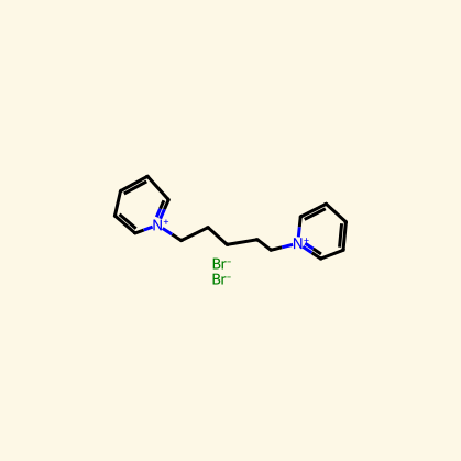 [Br-].[Br-].c1cc[n+](CCCCC[n+]2ccccc2)cc1